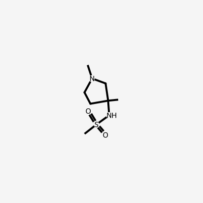 CN1CCC(C)(NS(C)(=O)=O)C1